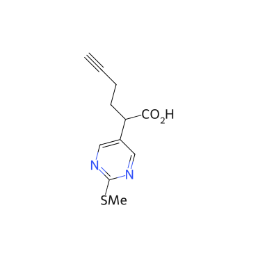 C#CCCC(C(=O)O)c1cnc(SC)nc1